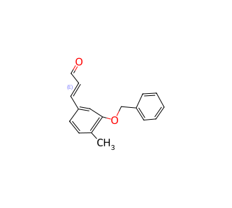 Cc1ccc(/C=C/C=O)cc1OCc1ccccc1